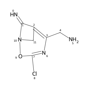 N=C1C2=C(CN)N=C(Cl)ON1C2